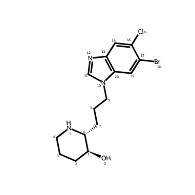 O[C@H]1CCCN[C@@H]1CCCn1cnc2cc(Cl)c(Br)cc21